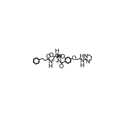 O=C(CCc1ccccc1)N[C@@H](CNC(=O)c1ccc(OCCNC2=NCCCN2)cc1O)C(=O)O